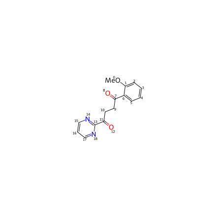 COc1ccccc1C(=O)CCC(=O)c1ncccn1